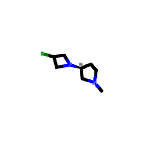 CN1CC[C@H](N2CC(F)C2)C1